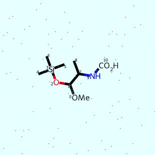 COC(O[Si](C)(C)C)C(C)NC(=O)O